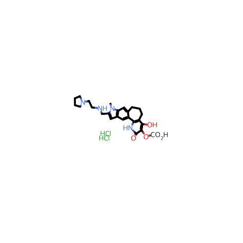 Cl.Cl.Cn1c(CNCCN2CCCC2)cc2cc3c(cc21)CCCc1c-3[nH]c(=O)c(OC(=O)O)c1O